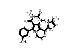 Cc1cccc(-c2c3c(=O)n(C)c(=O)n(C)c3c3n2CCOC3c2nc(C)cs2)c1